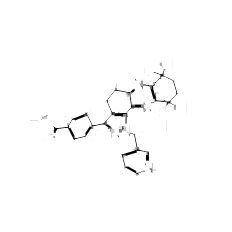 CC1(C)CCC(C)(C)c2nc3c(nc21)CCc1c(-c2ccc(C(=O)O)cc2)nn(Cc2cccnc2)c1-3